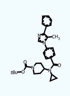 Cc1c(-c2ccccc2)ncn1-c1ccc(C(=O)N(C2CC2)C2CCN(C(=O)OC(C)(C)C)CC2)cc1